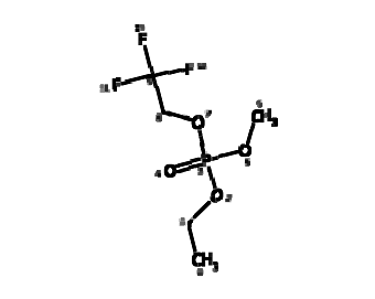 CCOP(=O)(OC)OCC(F)(F)F